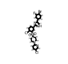 O=S(=O)(c1cc(-c2nc(-c3ccc(Br)c(F)c3)c[nH]2)ccc1Cl)N1CCN(c2ccc(Cl)cn2)CC1